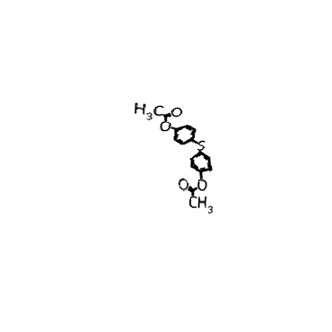 CC(=O)Oc1ccc(Sc2ccc(OC(C)=O)cc2)cc1